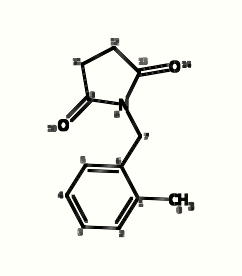 Cc1ccccc1CN1C(=O)CCC1=O